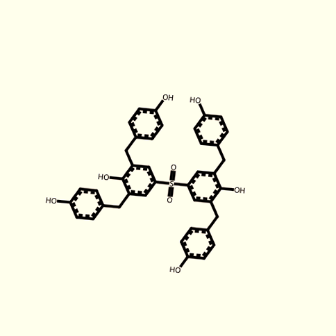 O=S(=O)(c1cc(Cc2ccc(O)cc2)c(O)c(Cc2ccc(O)cc2)c1)c1cc(Cc2ccc(O)cc2)c(O)c(Cc2ccc(O)cc2)c1